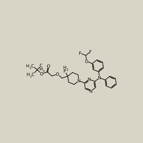 CC(C)(C)OC(=O)COCC1(P)CCN(c2cncc(N(c3ccccc3)c3cccc(OC(F)F)c3)n2)CC1